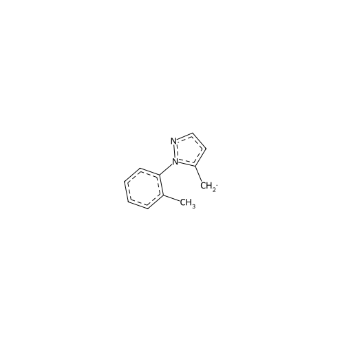 [CH2]c1ccnn1-c1ccccc1C